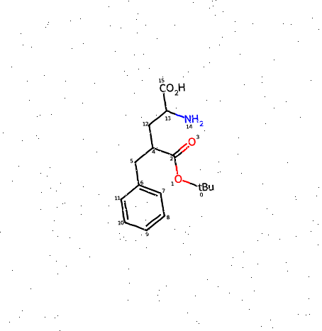 CC(C)(C)OC(=O)C(Cc1ccccc1)CC(N)C(=O)O